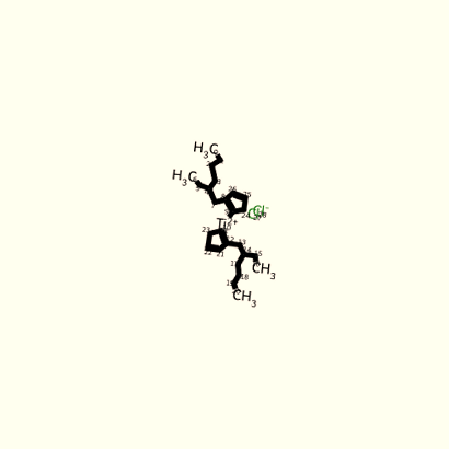 CCCCC(CC)CC1=[C]([Ti+2][C]2=C(CC(CC)CCCC)C=CC2)CC=C1.[Cl-].[Cl-]